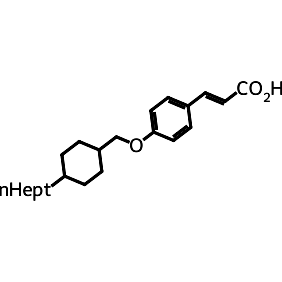 CCCCCCCC1CCC(COc2ccc(C=CC(=O)O)cc2)CC1